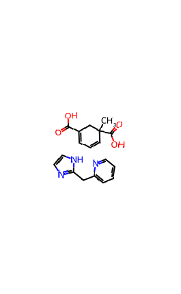 CC1(C(=O)O)C=CC=C(C(=O)O)C1.c1ccc(Cc2ncc[nH]2)nc1